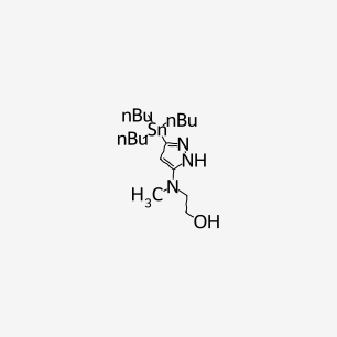 CCC[CH2][Sn]([CH2]CCC)([CH2]CCC)[c]1cc(N(C)CCO)[nH]n1